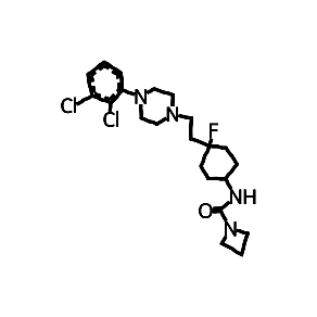 O=C(NC1CCC(F)(CCN2CCN(c3cccc(Cl)c3Cl)CC2)CC1)N1CCC1